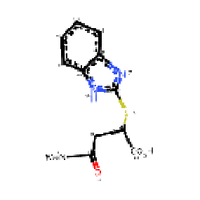 CNC(=O)CC(Sc1nc2ccccc2[nH]1)C(=O)O